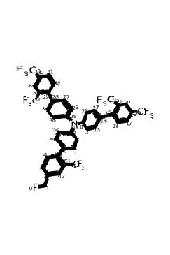 FCc1ccc(-c2ccc(N(c3ccc(-c4ccc(C(F)(F)F)cc4C(F)(F)F)cc3)c3ccc(-c4ccc(C(F)(F)F)cc4C(F)(F)F)cc3)cc2)c(C(F)(F)F)c1